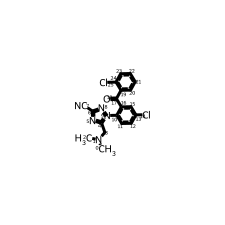 CN(C)Cc1nc(C#N)nn1-c1ccc(Cl)cc1C(=O)c1ccccc1Cl